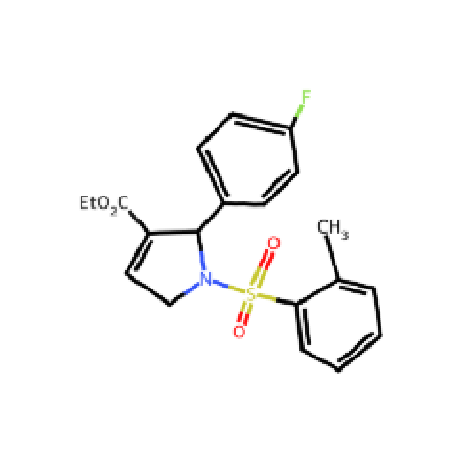 CCOC(=O)C1=CCN(S(=O)(=O)c2ccccc2C)C1c1ccc(F)cc1